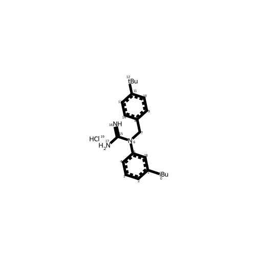 CCC(C)c1cccc(N(Cc2ccc(C(C)(C)C)cc2)C(=N)N)c1.Cl